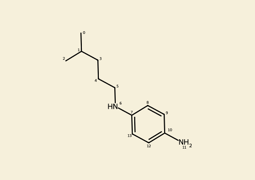 CC(C)CCCNc1ccc(N)cc1